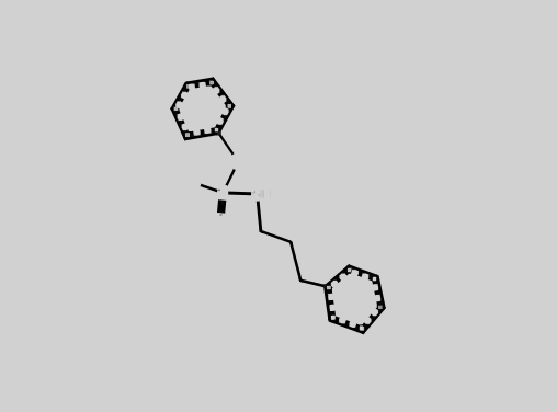 OP(=S)(NCCCc1ccccc1)Oc1ccccc1